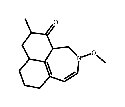 CON1C=CC2=C3C(CCC2)CC(C)C(=O)C3C1